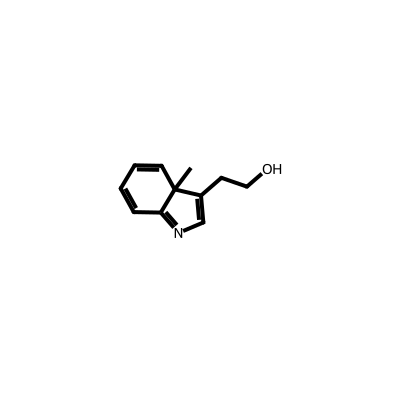 CC12C=CC=CC1=NC=C2CCO